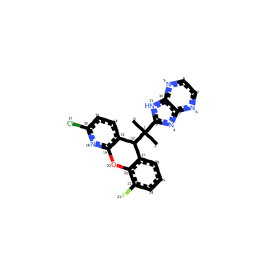 CC(C)(c1nc2nccnc2[nH]1)C1c2ccc(Cl)nc2Oc2c(F)cccc21